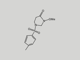 CON1CN(S(=O)(=O)c2ccc(C)cc2)CCC1=O